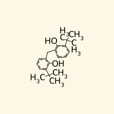 CC(C)(C)c1cccc(Cc2cccc(C(C)(C)C)c2O)c1O